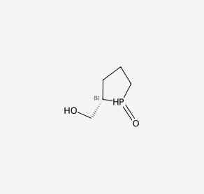 O=[PH]1CCC[C@H]1CO